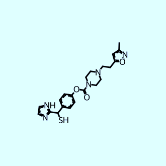 Cc1cc(CCN2CCN(C(=O)Oc3ccc(C(S)c4ncc[nH]4)cc3)CC2)on1